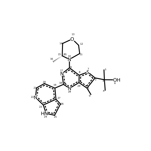 Cc1c(C(C)(C)O)sc2c(N3CCOC[C@H]3C)nc(-c3ccnc4[nH]ccc34)nc12